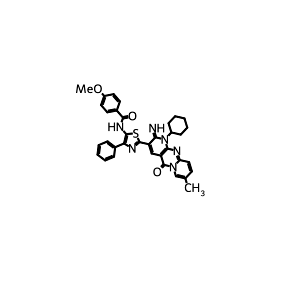 COc1ccc(C(=O)Nc2sc(-c3cc4c(=O)n5cc(C)ccc5nc4n(C4CCCCC4)c3=N)nc2-c2ccccc2)cc1